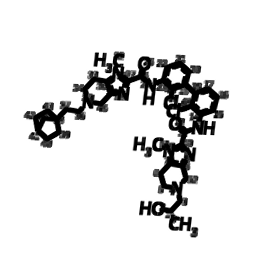 C[C@H](O)CN1CCc2c(nc(C(=O)Nc3cccc(-c4cccc(NC(=O)c5nc6c(n5C)CCN(CCC57CCC(CC5)C7)C6)c4Cl)c3Cl)n2C)C1